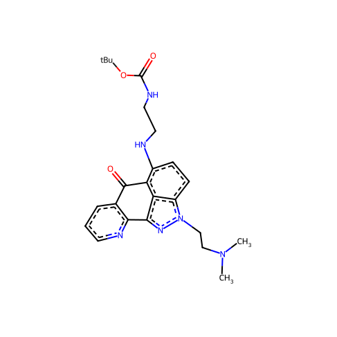 CN(C)CCn1nc2c3c(c(NCCNC(=O)OC(C)(C)C)ccc31)C(=O)c1cccnc1-2